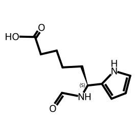 O=CN[C@@H](CCCCC(=O)O)c1ccc[nH]1